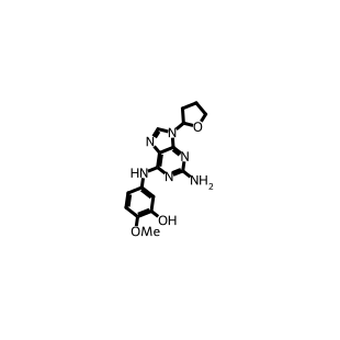 COc1ccc(Nc2nc(N)nc3c2ncn3C2CCCO2)cc1O